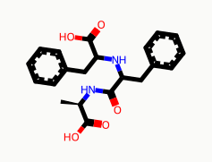 C[C@@H](NC(=O)C(Cc1ccccc1)NC(Cc1ccccc1)C(=O)O)C(=O)O